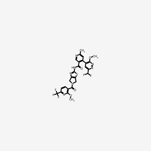 COc1nc(C(F)(F)F)ccc1C(=O)N1Cc2nc(NC(=O)c3cnc(C)cc3-c3cc(C(F)F)nnc3OC)sc2C1